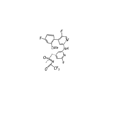 COc1cc(F)ccc1-c1cc(Nc2cc(CS(C)(=O)=NC(=O)C(F)(F)F)cc(F)n2)ncc1F